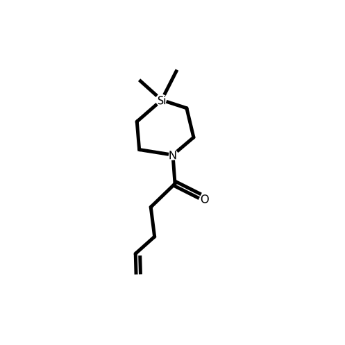 C=CCCC(=O)N1CC[Si](C)(C)CC1